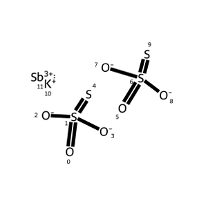 O=S([O-])([O-])=S.O=S([O-])([O-])=S.[K+].[Sb+3]